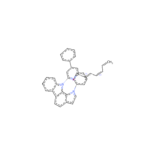 C=C/C=C\C=C\c1cc(-c2ccccc2)cc(-n2c3ccccc3c3ccc4ccn(-c5ccccc5)c4c32)n1